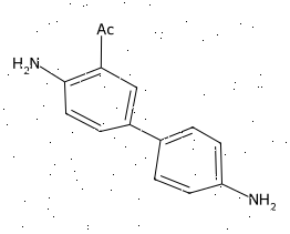 CC(=O)c1cc(-c2ccc(N)cc2)ccc1N